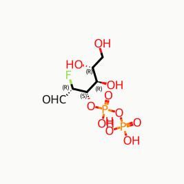 O=C[C@H](F)[C@@H](OP(=O)(O)OP(=O)(O)O)[C@H](O)[C@H](O)CO